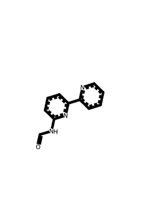 O=CNc1cccc(-c2ccccn2)n1